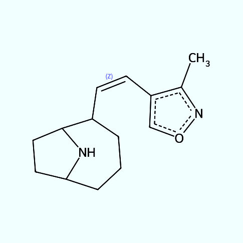 Cc1nocc1/C=C\C1CCCC2CCC1N2